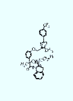 Cc1oc(-c2ccc(C(F)(F)F)cc2)nc1COc1cccc(C(C)(C)C(=O)N2c3ccccc3C[C@H]2OC(=O)O)c1